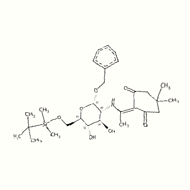 CC(N[C@H]1[C@@H](OCc2ccccc2)O[C@H](CO[Si](C)(C)C(C)(C)C)[C@@H](O)[C@@H]1O)=C1C(=O)CC(C)(C)CC1=O